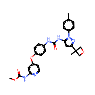 COC(=O)Nc1cc(Oc2ccc(NC(=O)Nc3cc(C4(C)COC4)nn3-c3ccc(C)cc3)cc2)ccn1